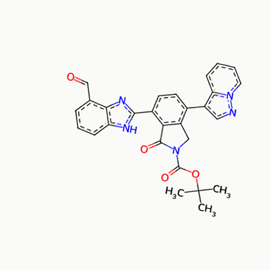 CC(C)(C)OC(=O)N1Cc2c(-c3cnn4ccccc34)ccc(-c3nc4c(C=O)cccc4[nH]3)c2C1=O